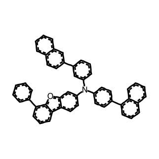 c1ccc(-c2cccc3c2oc2cc(N(c4ccc(-c5cccc6ccccc56)cc4)c4cccc(-c5ccc6ccccc6c5)c4)ccc23)cc1